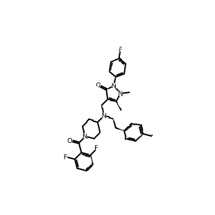 Cc1ccc(CCN(Cc2c(C)n(C)n(-c3ccc(F)cc3)c2=O)C2CCN(C(=O)c3c(F)cccc3F)CC2)cc1